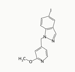 COc1cc(Cn2ncc3cc(I)ccc32)ccn1